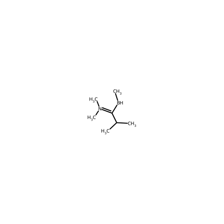 CBC(C(C)C)=[N+](C)C